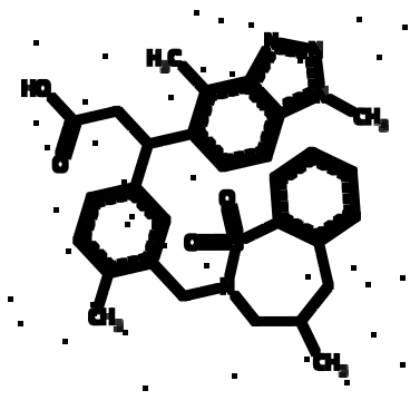 Cc1ccc(C(CC(=O)O)c2ccc3c(nnn3C)c2C)cc1CN1CC(C)Cc2ccccc2S1(=O)=O